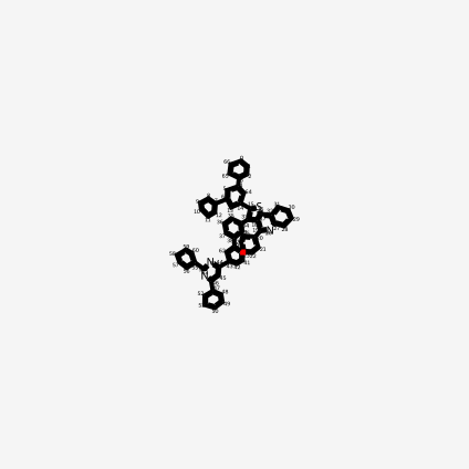 c1ccc(-c2cc(-c3ccccc3)cc(-c3sc4c(c(-c5ccccc5)nc5ccccc54)c3-c3cccc(-c4cccc(-c5cc(-c6ccccc6)nc(-c6ccccc6)n5)c4)c3)c2)cc1